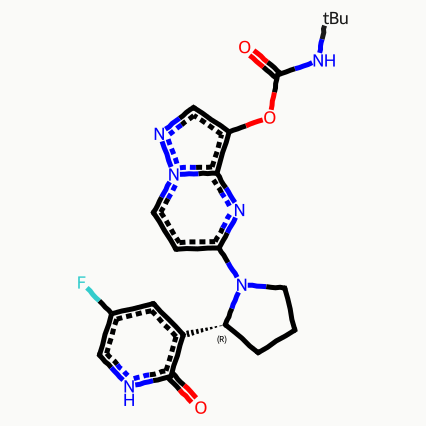 CC(C)(C)NC(=O)Oc1cnn2ccc(N3CCC[C@@H]3c3cc(F)c[nH]c3=O)nc12